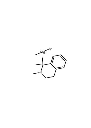 CN1CCc2ccccc2C1(C)C.[CH3][Mg][Br]